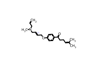 C=CCN(C)C/C=C/COc1ccc(C(=O)CCC=C(C)C)cc1